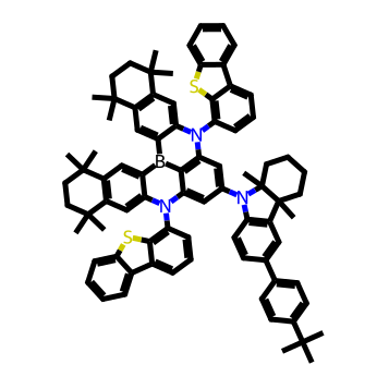 CC(C)(C)c1ccc(-c2ccc3c(c2)C2(C)CCCCC2(C)N3c2cc3c4c(c2)N(c2cccc5c2sc2ccccc25)c2cc5c(cc2B4c2cc4c(cc2N3c2cccc3c2sc2ccccc23)C(C)(C)CCC4(C)C)C(C)(C)CCC5(C)C)cc1